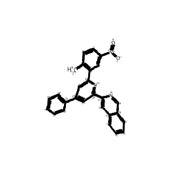 Cc1ccc([N+](=O)[O-])cc1-c1cc(-c2ccccc2)cc(-c2cc3ccccc3cn2)n1